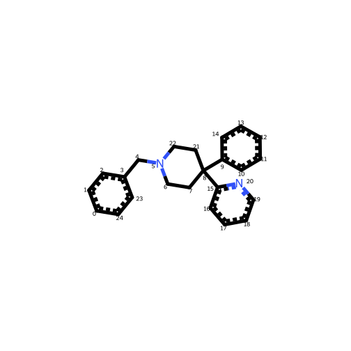 c1ccc(CN2CCC(c3ccccc3)(c3ccccn3)CC2)cc1